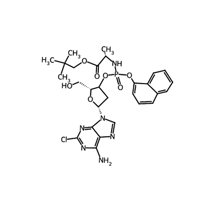 C[C@H](NP(=O)(Oc1cccc2ccccc12)OC1C[C@H](n2cnc3c(N)nc(Cl)nc32)O[C@@H]1CO)C(=O)OCC(C)(C)C